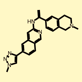 C=C(Nc1cc2cc(-c3cn(C)nn3)ccc2cn1)c1ccc2c(c1)CCN(C)C2